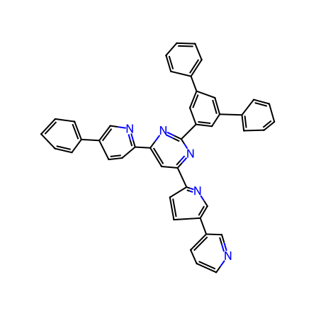 c1ccc(-c2ccc(-c3cc(-c4ccc(-c5cccnc5)cn4)nc(-c4cc(-c5ccccc5)cc(-c5ccccc5)c4)n3)nc2)cc1